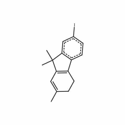 CC1=CC2=C(CC1)c1ccc(I)cc1C2(C)C